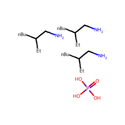 CCCCC(CC)CN.CCCCC(CC)CN.CCCCC(CC)CN.O=P(O)(O)O